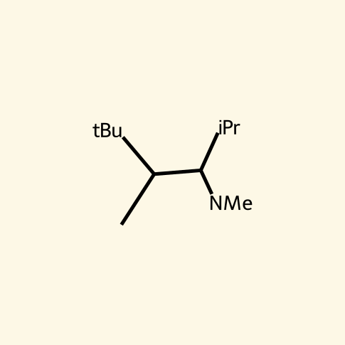 CNC(C(C)C)C(C)C(C)(C)C